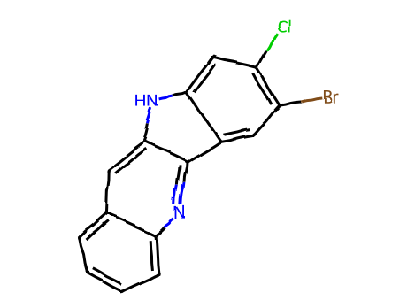 Clc1cc2[nH]c3cc4ccccc4nc3c2cc1Br